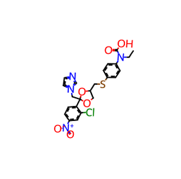 CCN(C(=O)O)c1ccc(SCC2COC(Cn3ccnc3)(c3ccc([N+](=O)[O-])cc3Cl)O2)cc1